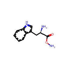 NOC(=O)[C@H](N)Cc1c[nH]c2ccccc12